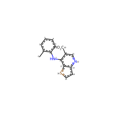 Cc1ccccc1Nc1c(C(=O)O)cnc2ccsc12